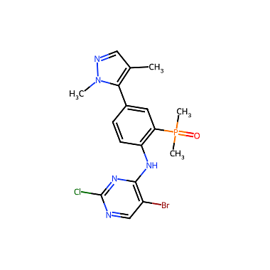 Cc1cnn(C)c1-c1ccc(Nc2nc(Cl)ncc2Br)c(P(C)(C)=O)c1